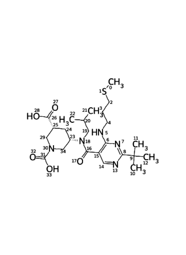 CSCCCNc1nc(C(C)(C)C)ncc1C(=O)N(CC(C)C)[C@H]1C[C@@H](C(=O)O)CN(C(=O)O)C1